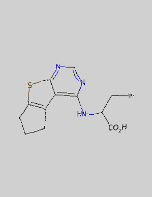 CC(C)CC(Nc1ncnc2sc3c(c12)CCC3)C(=O)O